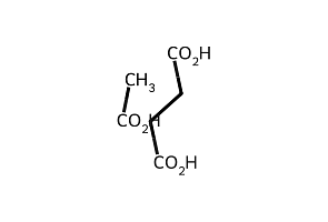 CC(=O)O.O=C(O)CCC(=O)O